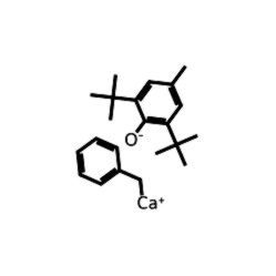 Cc1cc(C(C)(C)C)c([O-])c(C(C)(C)C)c1.[Ca+][CH2]c1ccccc1